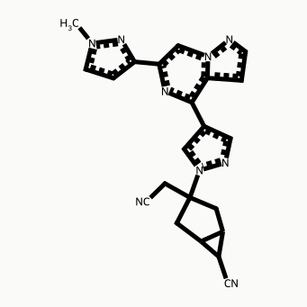 Cn1ccc(-c2cn3nccc3c(-c3cnn(C4(CC#N)CC5C(C#N)C5C4)c3)n2)n1